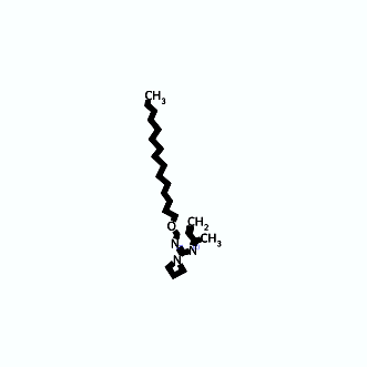 C=C/C(C)=N\C(=N/COCCCCCCCCCCCCCCC)N1CCC1